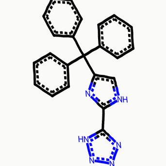 c1ccc(C(c2ccccc2)(c2ccccc2)c2c[nH]c(-c3nnn[nH]3)n2)cc1